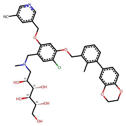 Cc1c(COc2cc(OCc3cncc(C#N)c3)c(CN(C)C[C@H](O)[C@H](O)[C@H](O)[C@H](O)CO)cc2Cl)cccc1-c1ccc2c(c1)OCCO2